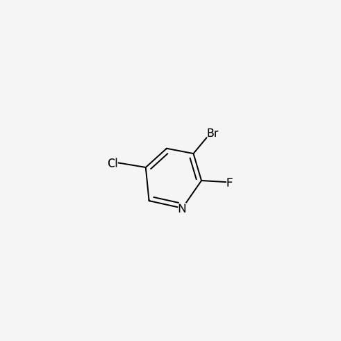 Fc1ncc(Cl)cc1Br